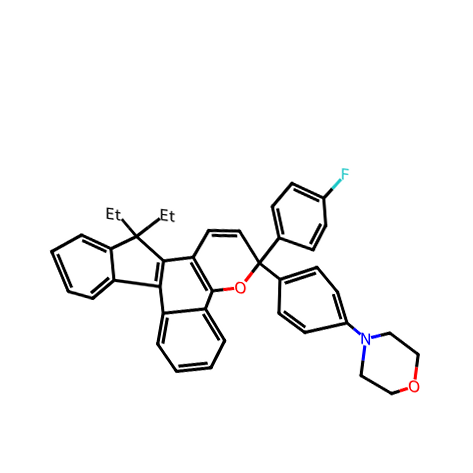 CCC1(CC)c2ccccc2-c2c1c1c(c3ccccc23)OC(c2ccc(F)cc2)(c2ccc(N3CCOCC3)cc2)C=C1